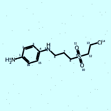 Nc1ccc(NCCCS(=O)(=O)CCCl)cc1